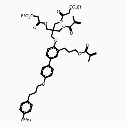 C=C(C)C(=O)OCCCc1cc(-c2ccc(OCCCc3ccc(CCCCCC)cc3)cc2)ccc1OCC(COC(=O)CC(=O)OCC)(COC(=O)CC(=O)OCC)COC(=O)C(=C)C